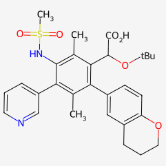 Cc1c(-c2cccnc2)c(NS(C)(=O)=O)c(C)c(C(OC(C)(C)C)C(=O)O)c1-c1ccc2c(c1)CCCO2